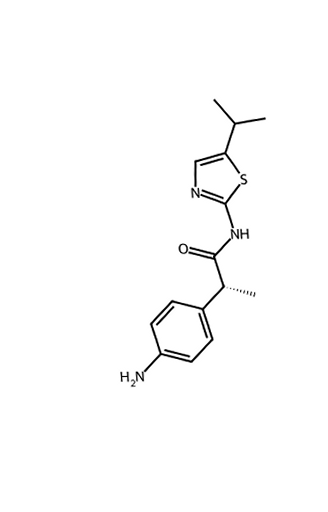 CC(C)c1cnc(NC(=O)[C@H](C)c2ccc(N)cc2)s1